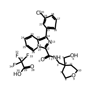 O=C(NCC1(CO)CCOCC1)c1nc(-c2cccc(Cl)c2)c2ccccn12.O=C(O)C(F)(F)F